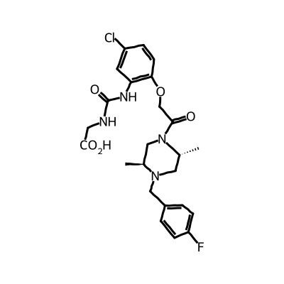 C[C@@H]1CN(Cc2ccc(F)cc2)[C@@H](C)CN1C(=O)COc1ccc(Cl)cc1NC(=O)NCC(=O)O